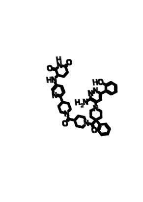 Nc1nnc(-c2ccccc2O)cc1N1CCC(C(=O)N2CCC(C(=O)N3CCC(c4ccc(NC5CCC(=O)NC5=O)cn4)CC3)CC2)(c2ccccc2)CC1